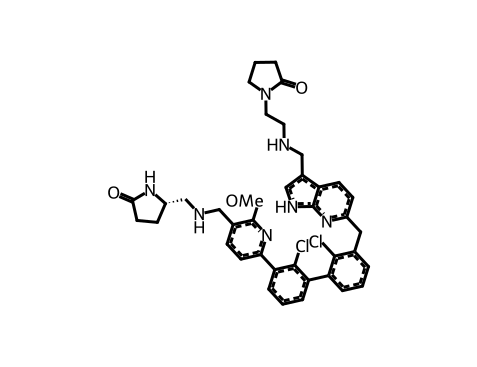 COc1nc(-c2cccc(-c3cccc(Cc4ccc5c(CNCCN6CCCC6=O)c[nH]c5n4)c3Cl)c2Cl)ccc1CNC[C@@H]1CCC(=O)N1